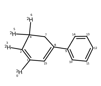 [2H]C1=C([2H])C([2H])([2H])CC(c2ccccc2)=C1